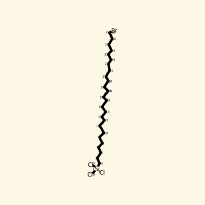 Cl[Si](Cl)(Cl)CCCCCCCCCCCCCCCCCCCCCCCCCCBr